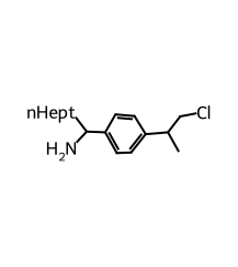 CCCCCCCC(N)c1ccc(C(C)CCl)cc1